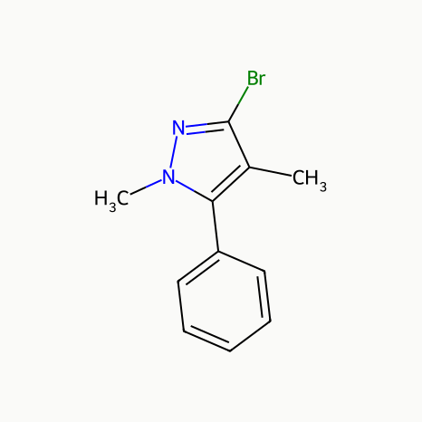 Cc1c(Br)nn(C)c1-c1ccccc1